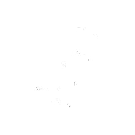 COCC(=O)Nc1cc(-c2cccc(-c3cc(NC(=O)c4ccnc(C(F)(F)F)c4)cnc3C)n2)ccn1